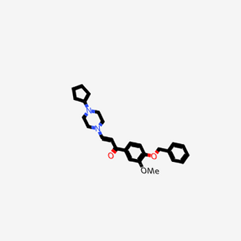 COc1cc(C(=O)C=CN2CCN(C3CCCC3)CC2)ccc1OCc1ccccc1